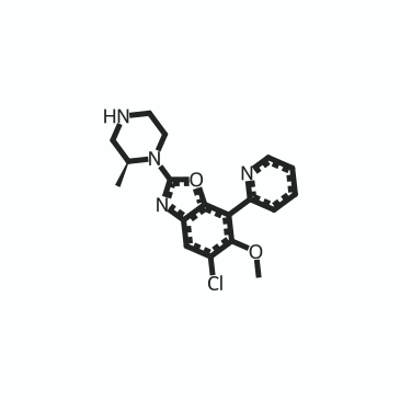 COc1c(Cl)cc2nc(N3CCNC[C@@H]3C)oc2c1-c1ccccn1